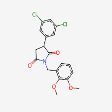 COc1cccc(CN2C(=O)CC(c3cc(Cl)cc(Cl)c3)C2=O)c1OC